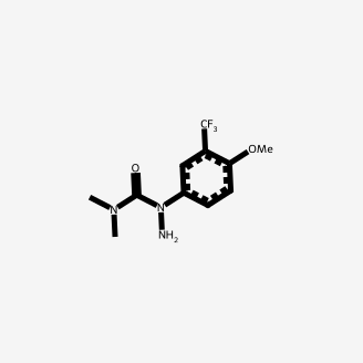 COc1ccc(N(N)C(=O)N(C)C)cc1C(F)(F)F